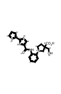 O=C(Nc1ccccc1N1CCC(CO)(C(=O)O)C1)c1csc(-c2cccs2)n1